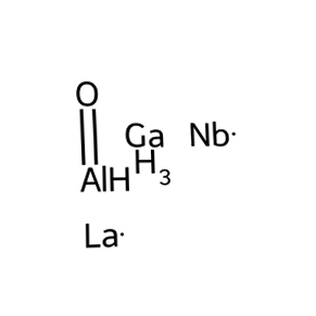 [GaH3].[La].[Nb].[O]=[AlH]